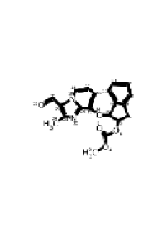 COC(=O)OC1Cc2ccccc2C1Oc1cccn2c(C=O)c(C)nc12